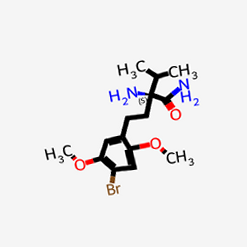 COc1cc(CC[C@@](N)(C(N)=O)C(C)C)c(OC)cc1Br